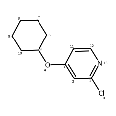 Clc1cc(OC2CCCCC2)ccn1